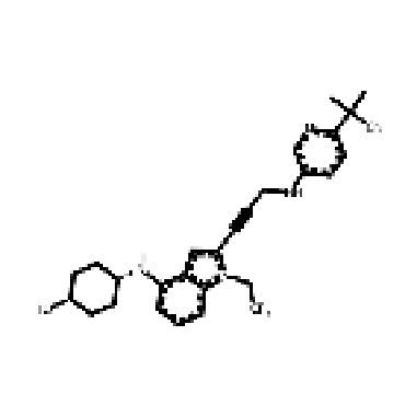 CC(C)(C#N)c1ccc(NCC#Cc2cc3c(N[C@H]4CC[C@H](O)CC4)cccc3n2CC(F)(F)F)cn1